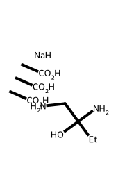 CC(=O)O.CC(=O)O.CC(=O)O.CCC(N)(O)CN.[NaH]